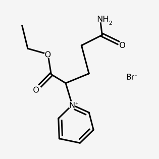 CCOC(=O)C(CCC(N)=O)[n+]1ccccc1.[Br-]